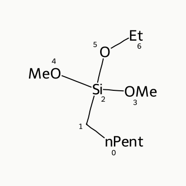 CCCCCC[Si](OC)(OC)OCC